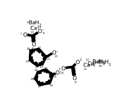 O=C([O-])[O-].O=C([O-])[O-].[BaH2].[BaH2].[BaH2].[Ca+2].[Ca+2].[Ca+2].[O-]c1ccccc1.[O-]c1ccccc1